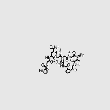 CC(C)N(C(=O)CNC(=O)CNC(=O)CNC(=O)C(CCC(N)=O)NC(=O)CNC(=O)C1CCCN1)C(C)C(=O)NCC(=O)N1CCCC1C(=O)NCC(=O)O